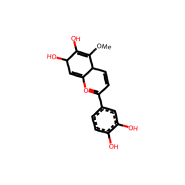 COC1=C(O)C(O)C=C2[O+]=C(c3ccc(O)c(O)c3)C=CC21